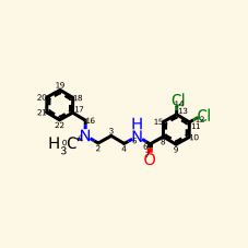 CN(CCCNC(=O)c1ccc(Cl)c(Cl)c1)Cc1ccccc1